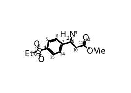 CCS(=O)(=O)c1ccc(C(N)CC(=O)OC)cc1